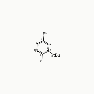 Cc1ncc(F)cc1C(C)(C)C